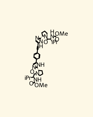 COC(=O)NC(C(=O)N1CCC[C@H]1c1ncc(-c2ccc(C#Cc3cnc([C@@H]4CCCN4C(=O)[C@@H](NC(=O)OC)C(C)C)[nH]3)cc2)[nH]1)C(C)C